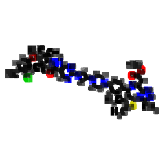 Cc1sc2c(c1C)C(c1ccc(N3CCN(C4CN(c5ncc(C(=O)NC6C(C)(C)C(Oc7ccc(C#N)c(Cl)c7)C6(C)C)cn5)C4)CC3)cc1)=N[C@@H](CC(=O)OC(C)(C)C)c1nnc(C)n1-2